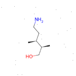 C[C@@H](CO)[C@@H](C)CCN